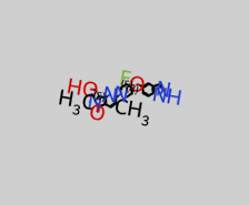 Cc1cc2c(nc1N1CC[C@@H](Oc3ccc4[nH]ncc4c3)[C@@H](F)C1)[C@@H](CO)N(C)C2=O